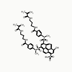 C=C(C)C(=O)NCCCNC(=O)c1ccc(N(C)S(=O)(=O)c2cc(S(=O)(=O)N(C)c3ccc(C(=O)NCCCNC(=O)C(=C)C)cc3)c3ccc4c([S](=O)(=O)[Mo])cc(O)c5ccc2c3c54)cc1